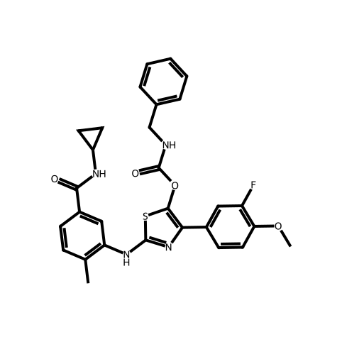 COc1ccc(-c2nc(Nc3cc(C(=O)NC4CC4)ccc3C)sc2OC(=O)NCc2ccccc2)cc1F